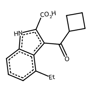 CCc1cccc2[nH]c(C(=O)O)c(C(=O)C3CCC3)c12